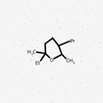 CCC1(C)CCC(C(C)C)C(C)O1